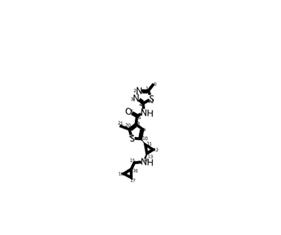 Cc1nnc(NC(=O)c2cc([C@@H]3C[C@H]3NCC3CC3)sc2C)s1